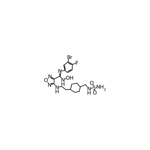 NS(=O)(=O)NCC1CCC(CCNc2nonc2C(=Nc2ccc(F)c(Br)c2)NO)CC1